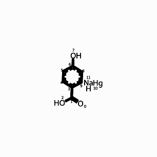 O=C(O)c1ccc(O)cc1.[Hg].[NaH]